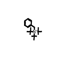 CC(C)(C)[N+](Cc1ccccc1)(C(C)(C)C)C(C)(C)C